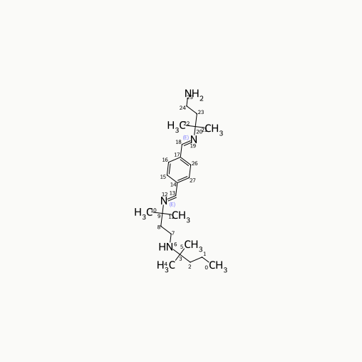 CCCC(C)(C)NCCC(C)(C)/N=C/c1ccc(/C=N/C(C)(C)CCN)cc1